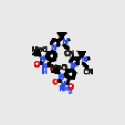 COc1c(N2CCC(C3(N(C)CCC#N)CC3)C2)ccc2c(=O)[nH]c(=O)n(C3CC3)c12.COc1c(N2CCC(C3(N(C)CCC#N)CC3)C2)ccc2c(=O)n(N)c(=O)n(C3CC3)c12